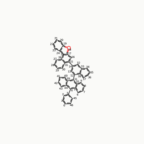 c1ccc(-c2c3ccccc3c(-c3cc(-c4cc5oc6ccccc6c5c5ccccc45)cc4ccccc34)c3ccccc23)cc1